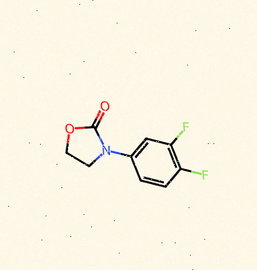 O=C1OCCN1c1ccc(F)c(F)c1